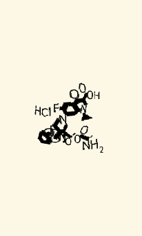 C[C@H](N)C(=O)OC[C@H]1CN(C2(C3CCN(c4cc5c(cc4F)c(=O)c(C(=O)O)cn5C4CC4)CC3)Oc3ccc(c(F)c3)O2)CO1.Cl